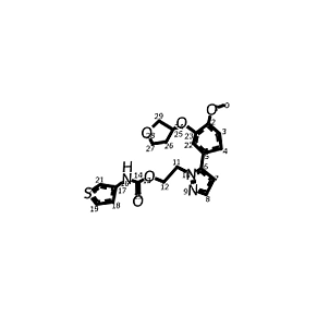 COc1ccc(-c2ccnn2CCOC(=O)Nc2ccsc2)cc1OC1CCOC1